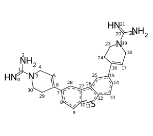 N=C(N)N1CC=C(c2ccc3sc4ccc(C5=CCN(C(=N)N)CC5)cc4c3c2)CC1